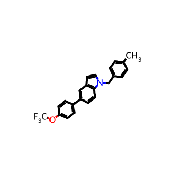 Cc1ccc(Cn2ccc3cc(-c4ccc(OC(F)(F)F)cc4)ccc32)cc1